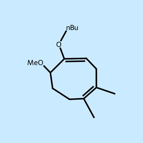 CCCCO/C1=C/C/C(C)=C(/C)CCC1OC